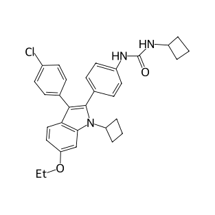 CCOc1ccc2c(-c3ccc(Cl)cc3)c(-c3ccc(NC(=O)NC4CCC4)cc3)n(C3CCC3)c2c1